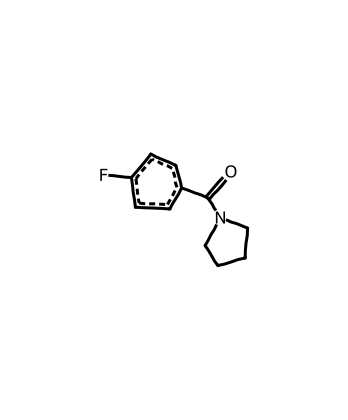 O=C(c1ccc(F)cc1)N1CCCC1